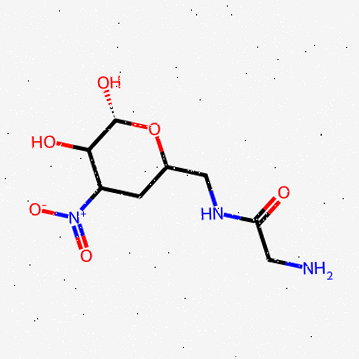 NCC(=O)NCC1CC([N+](=O)[O-])C(O)[C@H](O)O1